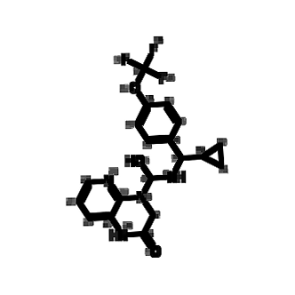 O=C1CN(C(O)NC(c2ccc(OC(F)(F)F)cc2)C2CC2)c2ncccc2N1